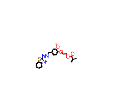 C=C(C)C(=O)OCCOc1ccc(C=NN=c2sc3ccccc3n2C)cc1OC